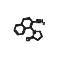 Nc1ccc2ccccc2c1N1CCCC1=O